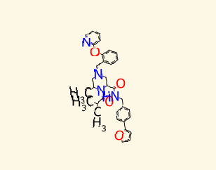 CC(C)C(=O)N1C(C)CN(Cc2ccccc2Oc2ccccn2)CC1C(=O)NCc1ccc(-c2ccco2)cc1